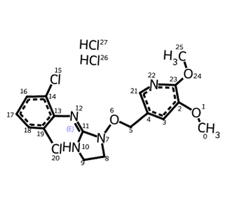 COc1cc(CON2CCN/C2=N\c2c(Cl)cccc2Cl)cnc1OC.Cl.Cl